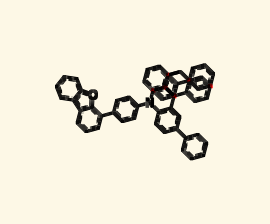 c1ccc(-c2ccc3c(c2)C24c5ccccc5C(c5ccccc52)c2c(-c5ccccc5)ccc(c24)N3c2ccc(-c3cccc4c3oc3ccccc34)cc2)cc1